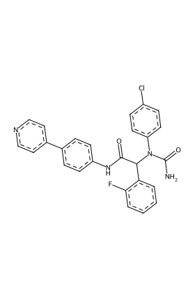 NC(=O)N(c1ccc(Cl)cc1)C(C(=O)Nc1ccc(-c2ccncc2)cc1)c1ccccc1F